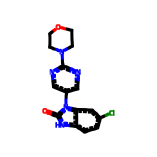 O=c1[nH]c2ccc(Cl)cc2n1-c1cnc(N2CCOCC2)nc1